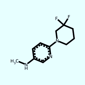 CNc1ccc(N2CCCC(F)(F)C2)nc1